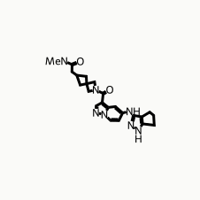 CNC(=O)CC1CC2(C1)CN(C(=O)c1cnn3ccc(Nc4n[nH]c5c4CCC5)cc13)C2